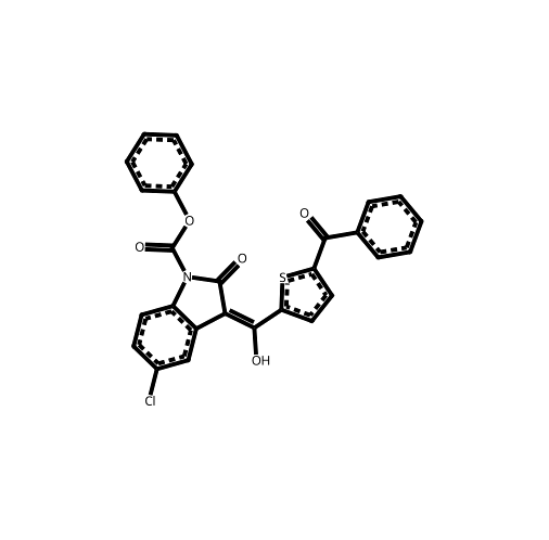 O=C(c1ccccc1)c1ccc(C(O)=C2C(=O)N(C(=O)Oc3ccccc3)c3ccc(Cl)cc32)s1